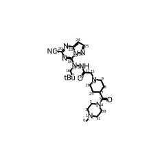 CN1CCN(C(=O)C2CCN(CC(=O)NN(CC(C)(C)C)c3nc(C#N)nc4ccnn34)CC2)CC1